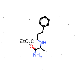 CCOC(=O)[C@H](CCc1ccccc1)N[C@@H](C)C(N)=O